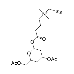 C#CC[N+](C)(C)CCCC(=O)OC1CC(OC(C)=O)CC(COC(C)=O)O1